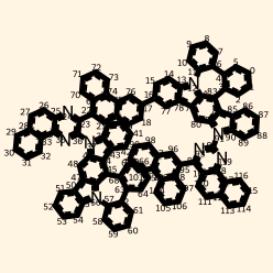 c1ccc2c(c1)-c1ccccc1-n1c3ccc(-c4ccc5cc(-c6nc7ccc8ccccc8c7nc6-n6c7ccccc7c7c8c9c(cc76)c6ccccc6n9-c6ccccc6-c6ccccc6-8)c6ccccc6c5c4)cc3c3cc4c(c-2c31)c1ccccc1n4-c1nc(-c2cc3ccccc3c3ccccc23)c2ccc3ccccc3c2n1